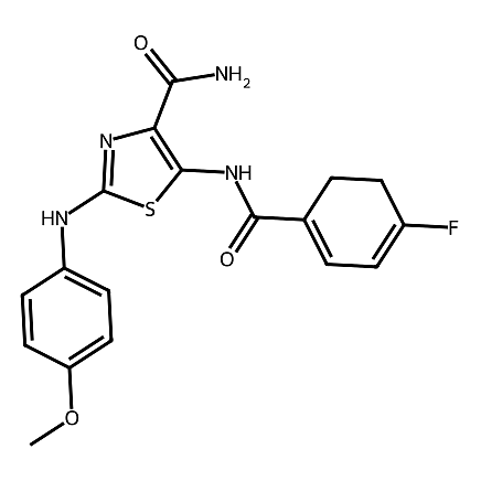 COc1ccc(Nc2nc(C(N)=O)c(NC(=O)C3=CC=C(F)CC3)s2)cc1